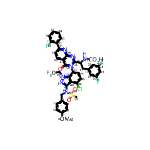 COc1ccc(CN(c2nn(CC(F)(F)F)c3c(-n4c(C(Cc5cc(F)cc(F)c5)NC(=O)O)nc5nc(-c6ccccc6F)ccc5c4=O)ccc(Cl)c23)S(C)(=O)=O)cc1